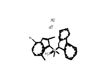 CC1=Cc2c(C(C)C)ccc(C)c2[CH]1[Zr]([CH3])([CH3])(=[SiH2])[CH]1c2ccccc2-c2ccccc21.Cl.Cl